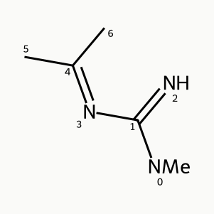 CNC(=N)N=C(C)C